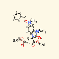 CN(OCc1ccccc1)c1ccc2c(c1)n(C)c(=O)n2C(CCC(=O)OC(C)(C)C)C(=O)OC(C)(C)C